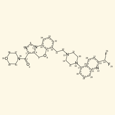 O=C(c1ncn2c1COc1c(CCN3CCN(c4cccc5nc(C(F)F)ccc45)CC3)cccc1-2)N1CCOCC1